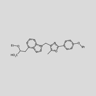 CCOC(Cc1cccc2c1ccn2Cc1nc(-c2ccc(OC(C)C)cc2)oc1C)C(=O)O